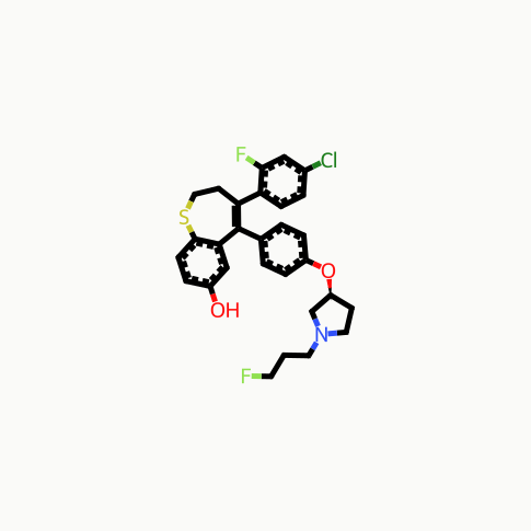 Oc1ccc2c(c1)C(c1ccc(O[C@H]3CCN(CCCF)C3)cc1)=C(c1ccc(Cl)cc1F)CCS2